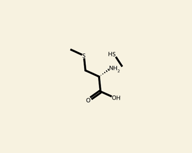 CS.CSC[C@H](N)C(=O)O